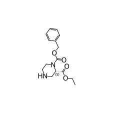 CCOC(=O)[C@@H]1CNCCN1C(=O)OCc1ccccc1